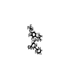 CC1([C@@H](NC(=O)c2cc(=O)[nH]c(-c3ncccn3)n2)c2ccc(SC(F)(F)F)c(F)c2)CC1